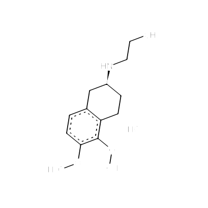 CCCN[C@H]1CCc2c(ccc(OC)c2OC)C1.Cl